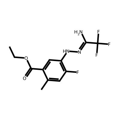 CCOC(=O)c1cc(NN=C(N)C(F)(F)F)c(F)cc1C